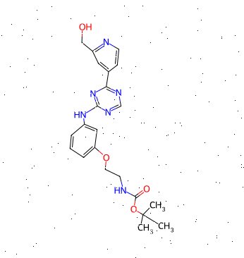 CC(C)(C)OC(=O)NCCOc1cccc(Nc2ncnc(-c3ccnc(CO)c3)n2)c1